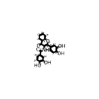 O=C(Nc1c(-c2ccc(O)c(O)c2)oc2ccccc2c1=O)c1ccc(O)c(O)c1